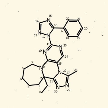 CCC12CCCCCN1c1nc(-n3ncnc3-c3ccccc3)ncc1-n1c(C)nnc12